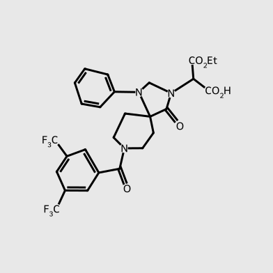 CCOC(=O)C(C(=O)O)N1CN(c2ccccc2)C2(CCN(C(=O)c3cc(C(F)(F)F)cc(C(F)(F)F)c3)CC2)C1=O